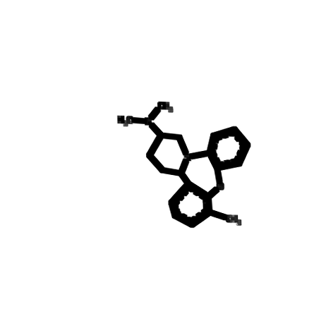 Cc1cccc2c1Oc1ccccc1N1CC(N(C)C)CCC21